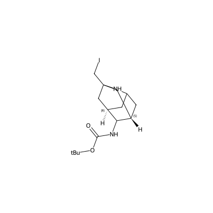 CC(C)(C)OC(=O)NC1[C@@H]2CC3C[C@H]1CC(CI)(C2)N3